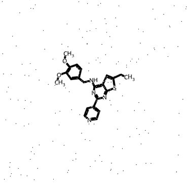 CCc1cc2c(NCc3ccc(OC)c(OC)c3)nc(-c3ccncc3)nc2s1